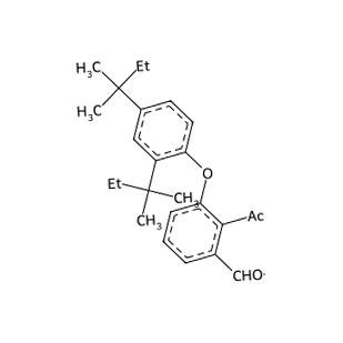 CCC(C)(C)c1ccc(Oc2cccc([C]=O)c2C(C)=O)c(C(C)(C)CC)c1